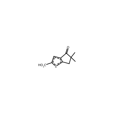 CC1(C)Cc2sc(C(=O)O)cc2C1=O